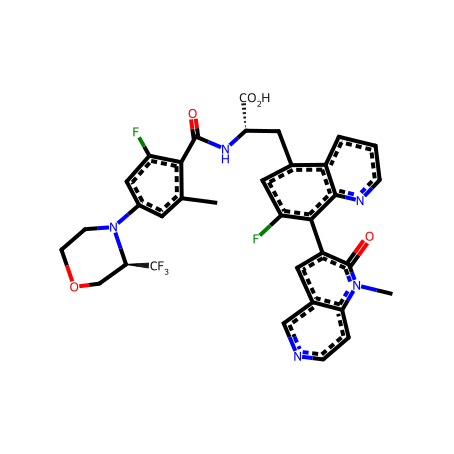 Cc1cc(N2CCOC[C@@H]2C(F)(F)F)cc(F)c1C(=O)N[C@@H](Cc1cc(F)c(-c2cc3cnccc3n(C)c2=O)c2ncccc12)C(=O)O